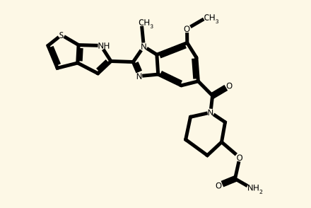 COc1cc(C(=O)N2CCCC(OC(N)=O)C2)cc2nc(-c3cc4ccsc4[nH]3)n(C)c12